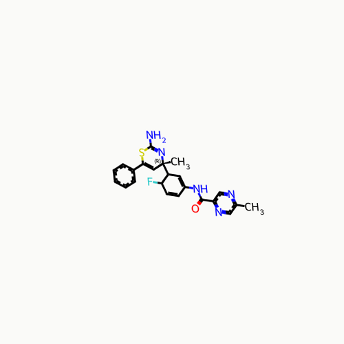 Cc1cnc(C(=O)NC2=CC([C@]3(C)C=C(c4ccccc4)SC(N)=N3)C(F)C=C2)cn1